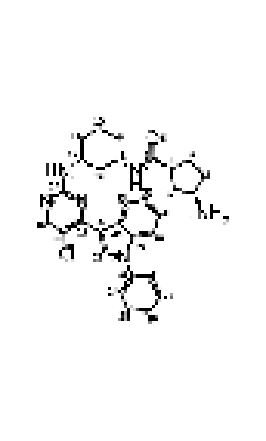 N[C@@H]1CC[C@H](C(=O)N[C@H]2CCC[C@@H](Nc3ncc(Cl)c(-c4cn(-c5ccccc5)c5ccccc45)n3)C2)C1